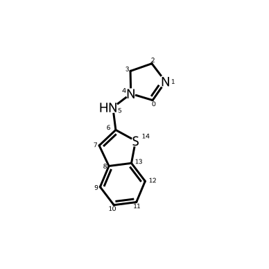 C1=NCCN1Nc1cc2ccccc2s1